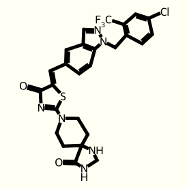 O=C1N=C(N2CCC3(CC2)NCNC3=O)S/C1=C\c1ccc2c(cnn2Cc2ccc(Cl)cc2C(F)(F)F)c1